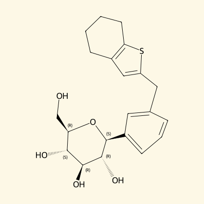 OC[C@H]1O[C@@H](c2cccc(Cc3cc4c(s3)CCCC4)c2)[C@H](O)[C@@H](O)[C@@H]1O